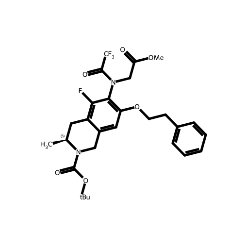 COC(=O)CN(C(=O)C(F)(F)F)c1c(OCCc2ccccc2)cc2c(c1F)C[C@H](C)N(C(=O)OC(C)(C)C)C2